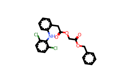 O=C(COC(=O)Cc1ccccc1Nc1c(Cl)cccc1Cl)OCc1ccccc1